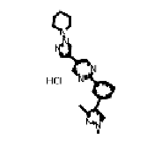 Cc1nn(C)cc1-c1cccc(-c2ncc(-c3cnn(N4CCCCC4)c3)cn2)c1.Cl